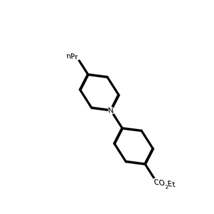 CCCC1CCN(C2CCC(C(=O)OCC)CC2)CC1